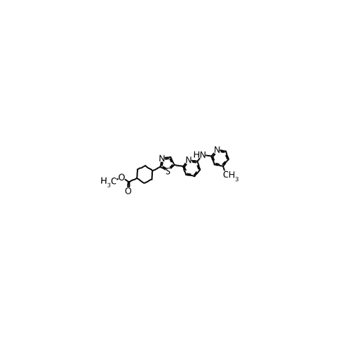 COC(=O)C1CCC(c2ncc(-c3cccc(Nc4cc(C)ccn4)n3)s2)CC1